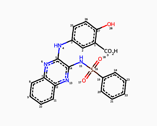 O=C(O)c1cc(Nc2nc3ccccc3nc2NS(=O)(=O)c2ccccc2)ccc1O